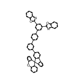 c1cc(-c2ccc(-c3cc(-c4nc5ccccc5o4)cc(-c4nc5ccccc5o4)c3)cc2)cc(-c2ccc3c(c2)C2(c4ccccc4Oc4ccccc42)c2ccccc2-3)c1